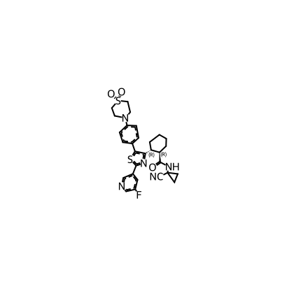 N#CC1(NC(=O)[C@@H]2CCCC[C@H]2c2nc(-c3cncc(F)c3)sc2-c2ccc(N3CCS(=O)(=O)CC3)cc2)CC1